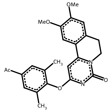 COc1cc2c(cc1OC)-c1cc(Oc3c(C)cc(C(C)=O)cc3C)nc(=O)n1CC2